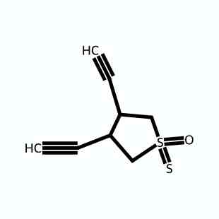 C#CC1CS(=O)(=S)CC1C#C